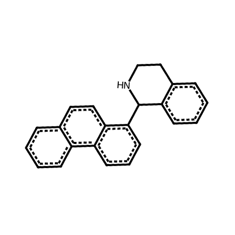 c1ccc2c(c1)CCNC2c1cccc2c1ccc1ccccc12